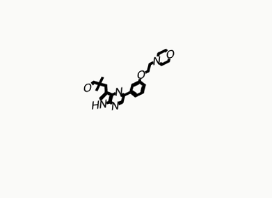 CC(C)(C=O)Cc1c[nH]c2ncc(-c3cccc(OCCN4CCOCC4)c3)nc12